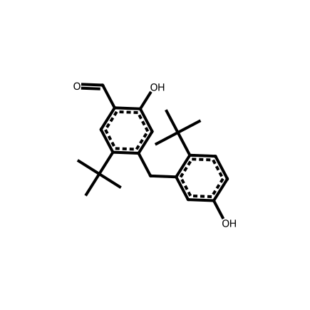 CC(C)(C)c1ccc(O)cc1Cc1cc(O)c(C=O)cc1C(C)(C)C